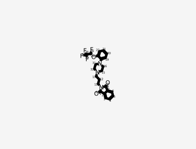 O=C1c2ccccc2C(=O)N1CCCN1CCN(c2ccccc2OC(F)C(F)(F)F)CC1